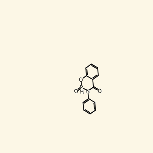 O=C1c2ccccc2O[PH](=O)N1c1ccccc1